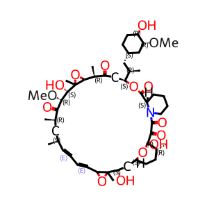 CO[C@@H]1C[C@H](C[C@@H](C)[C@@H]2CC(=O)[C@H](C)C3OC3(C)[C@@H](O)[C@@H](OC)C(=O)[C@H](C)C[C@H](C)/C=C/C=C/C3OC3(C)[C@@H](O)C[C@@H]3CC[C@@H](C)[C@@](O)(O3)C(=O)C(=O)N3CCCC[C@H]3C(=O)O2)CC[C@H]1O